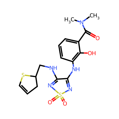 CN(C)C(=O)c1cccc(NC2=NS(=O)(=O)N=C2NCC2CC=CS2)c1O